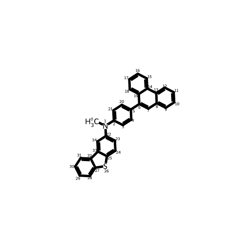 CN(c1ccc(-c2cc3ccccc3c3ccccc23)cc1)c1ccc2sc3ccccc3c2c1